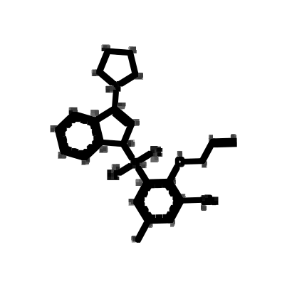 C=CCOc1c(C(C)(C)C)cc(C)cc1[Si](CC)(CC)C1C=C(N2CCCC2)c2ccccc21